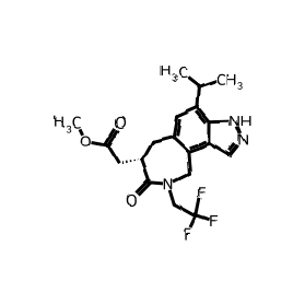 COC(=O)C[C@@H]1Cc2cc(C(C)C)c3[nH]ncc3c2CN(CC(F)(F)F)C1=O